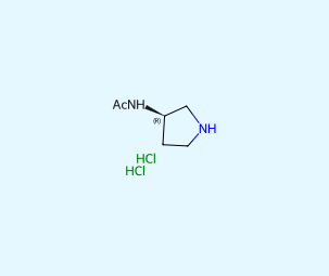 CC(=O)N[C@@H]1CCNC1.Cl.Cl